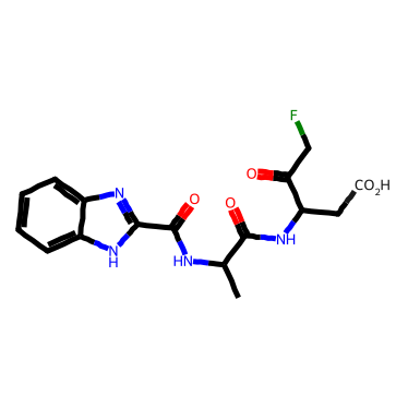 CC(NC(=O)c1nc2ccccc2[nH]1)C(=O)NC(CC(=O)O)C(=O)CF